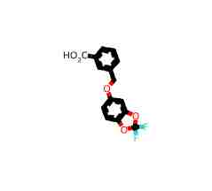 O=C(O)c1cccc(COc2ccc3c(c2)OC(F)(F)O3)c1